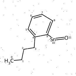 CCCCc1cccc[c]1[Sn]=[O]